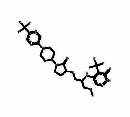 COCC(CO[C@H]1CCN(C2CCN(c3cnc(C(F)(F)F)cn3)CC2)C1=O)Nc1cn[nH]c(=O)c1C(F)(F)F